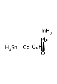 [Cd].[GaH3].[InH3].[O]=[Pb].[SnH4]